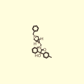 Cc1ccc([C@](O)(C(=O)N(C)C[C@H]2[C@@H]3CN(Cc4ccccc4)C[C@@H]32)c2ccccc2)cc1